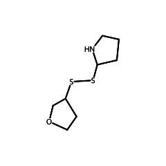 C1CNC(SSC2CCOC2)C1